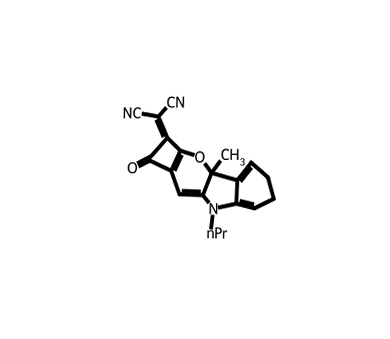 CCCN1C2=CCCC=C2C2(C)OC3=C(C=C12)C(=O)C3=C(C#N)C#N